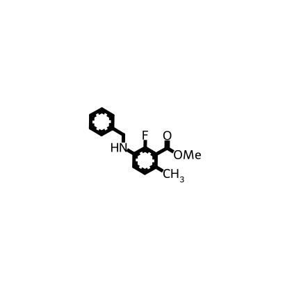 COC(=O)c1c(C)ccc(NCc2ccccc2)c1F